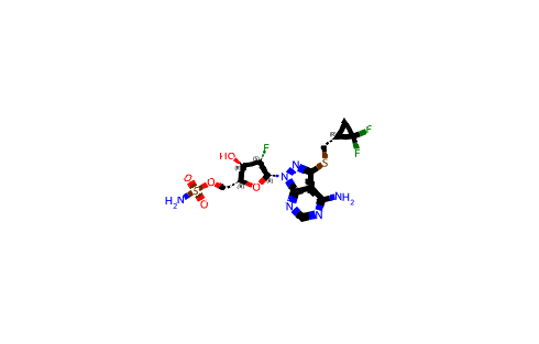 Nc1ncnc2c1c(SC[C@@H]1CC1(F)F)nn2[C@@H]1O[C@H](COS(N)(=O)=O)[C@@H](O)[C@@H]1F